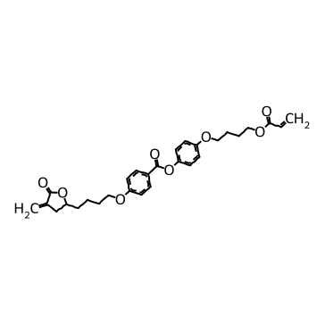 C=CC(=O)OCCCCOc1ccc(OC(=O)c2ccc(OCCCCC3CC(=C)C(=O)O3)cc2)cc1